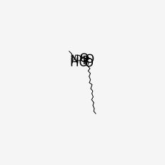 CCCCCCCCCCCCCCCCCCOP(=O)(O)OC1CC[N+](C)(CCC)CC1